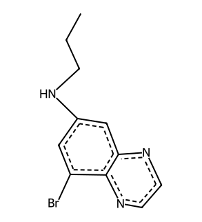 CCCNc1cc(Br)c2nccnc2c1